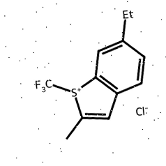 CCc1ccc2cc(C)[s+](C(F)(F)F)c2c1.[Cl-]